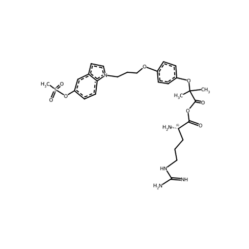 CC(C)(Oc1ccc(OCCCn2ccc3cc(OS(C)(=O)=O)ccc32)cc1)C(=O)OC(=O)[C@@H](N)CCCNC(=N)N